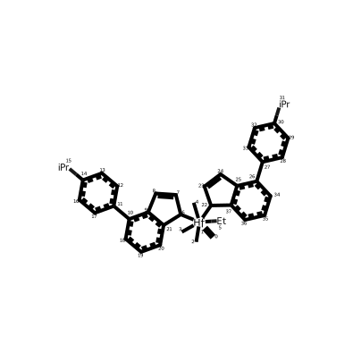 [CH2]=[Hf]([CH3])([CH3])([CH3])([CH2]C)([CH]1C=Cc2c(-c3ccc(C(C)C)cc3)cccc21)[CH]1C=Cc2c(-c3ccc(C(C)C)cc3)cccc21